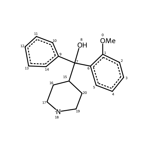 COc1ccccc1C(O)(c1ccccc1)C1CC[N]CC1